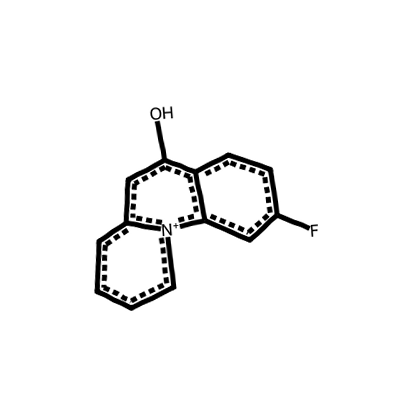 Oc1cc2cccc[n+]2c2cc(F)ccc12